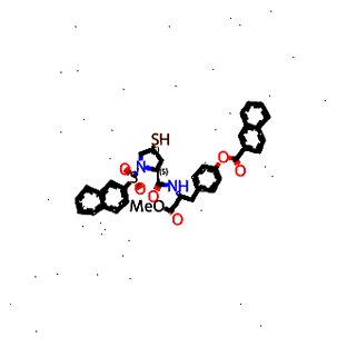 COC(=O)C(Cc1ccc(OC(=O)c2ccc3ccccc3c2)cc1)NC(=O)[C@@H]1C[C@H](S)CN1S(=O)(=O)c1ccc2ccccc2c1